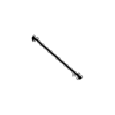 O=C(CCN1C(=O)C=CC1=O)NCCOCCOCCOCCOCCOCCOCCOCCOCCOCCOCCOCCOCCOCCOCCOCCOCCOCCOCCOCCNC(=O)CCN1C(=O)C=CC1=O